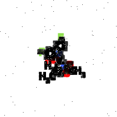 CC1CC(N(CC(C)(O)Cn2c3ccc(F)cc3c3cc(F)ccc32)S(C)(=O)=O)C1